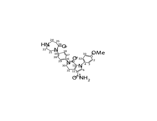 COc1ccc(-n2cc(C(N)=O)c3c2C(=O)N(c2ccc(N4CCNCCC4=O)cc2)CC3)cc1